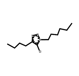 CCCCCCn1nnc(CCCC)c1Cl